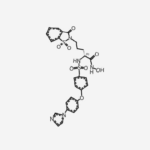 O=C(NO)[C@@H](CCCN1C(=O)c2ccccc2S1(=O)=O)NS(=O)(=O)c1ccc(Oc2ccc(-n3ccnc3)cc2)cc1